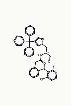 O=C[C@H](Cc1cn(C(c2ccccc2)(c2ccccc2)c2ccccc2)cn1)NC(=O)Cc1ccccc1Nc1c(Cl)cccc1Cl